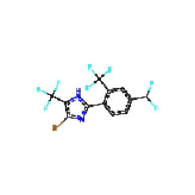 FC(F)c1ccc(-c2nc(Br)c(C(F)(F)F)[nH]2)c(C(F)(F)F)c1